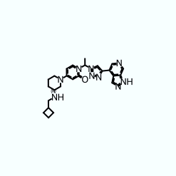 CC(n1cc(-c2cncc3[nH]ncc23)nn1)n1ccc(N2CCC[C@@H](NCC3CCC3)C2)cc1=O